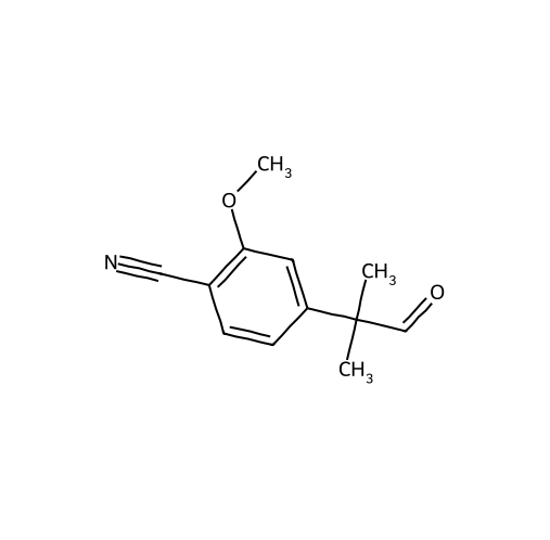 COc1cc(C(C)(C)C=O)ccc1C#N